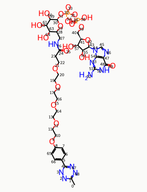 Cc1nnc(-c2ccc(OCCOCCOCCOCCOCCC(=O)NCC3O[C@H](OP(=O)(O)OP(=O)(O)OC[C@H]4O[C@@H](n5cnc6c(=O)[nH]c(N)nc65)C(O)[C@H]4O)C(O)C(O)[C@@H]3O)cc2)nn1